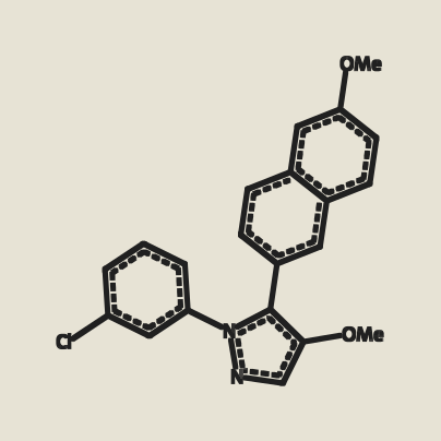 COc1ccc2cc(-c3c(OC)cnn3-c3cccc(Cl)c3)ccc2c1